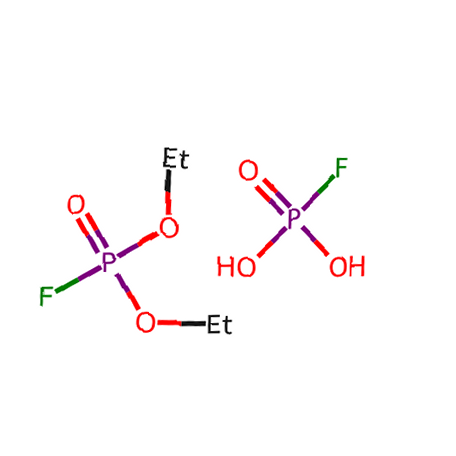 CCOP(=O)(F)OCC.O=P(O)(O)F